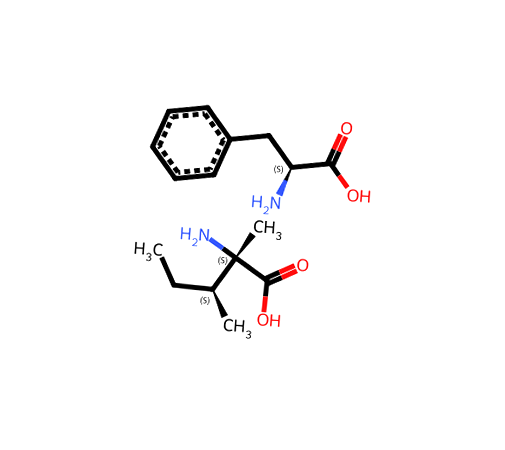 CC[C@H](C)[C@](C)(N)C(=O)O.N[C@@H](Cc1ccccc1)C(=O)O